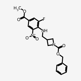 COC(=O)c1cc(F)c(NCC2CN(C(=O)OCc3ccccc3)C2)c([N+](=O)[O-])c1